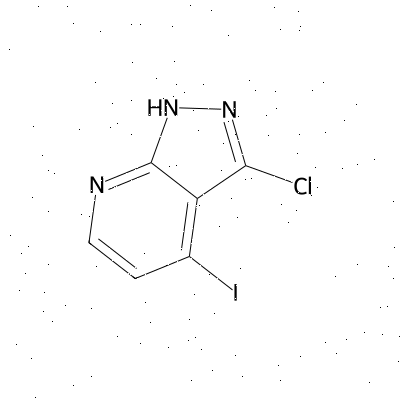 Clc1n[nH]c2nccc(I)c12